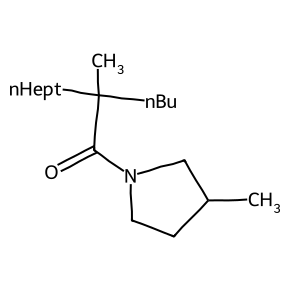 CCCCCCCC(C)(CCCC)C(=O)N1CCC(C)C1